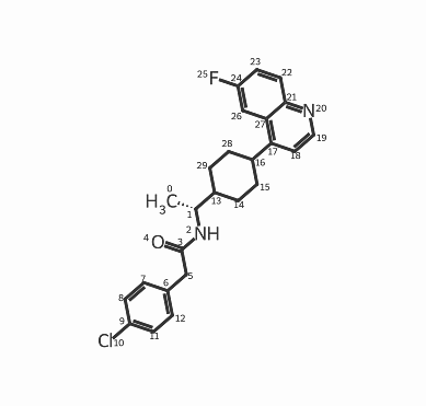 C[C@@H](NC(=O)Cc1ccc(Cl)cc1)C1CCC(c2ccnc3ccc(F)cc23)CC1